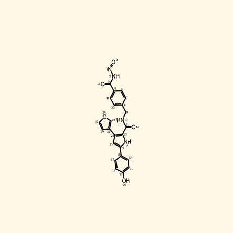 O=NNC(=O)c1ccc(CNC(=O)c2[nH]c(-c3ccc(O)cc3)cc2-c2ccoc2)cc1